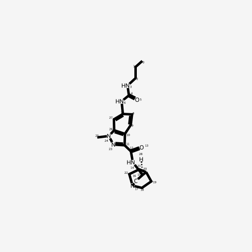 CCCNC(=O)Nc1ccc2c(C(=O)N[C@@H]3CN4CCC3CC4)nn(C)c2c1